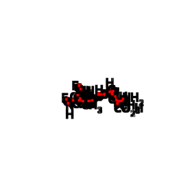 C[C@H](NC(=O)CCSCc1ccc(CSCCNC(=O)[C@]2(C)CCCN2C(=O)NC(=O)[C@H](CCCC(=O)O)NC(=O)[C@@H]2C[C@H](N)CN2C)cc1)C(=O)NC(=O)N[C@@H](Cc1c[nH]c2ccc(F)cc12)C(=O)N[C@H](C=O)Cc1c[nH]c2ccc(F)cc12